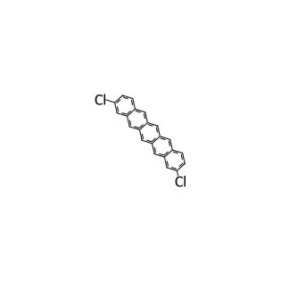 Clc1ccc2cc3cc4cc5ccc(Cl)cc5cc4cc3cc2c1